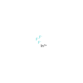 [F-].[F-].[F-].[In+3]